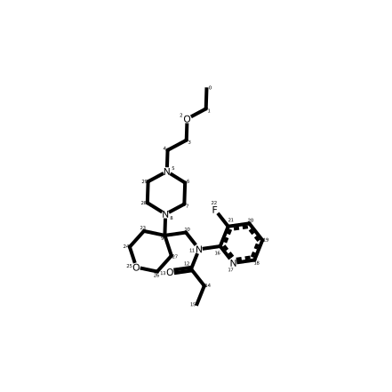 CCOCCN1CCN(C2(CN(C(=O)CC)c3ncccc3F)CCOCC2)CC1